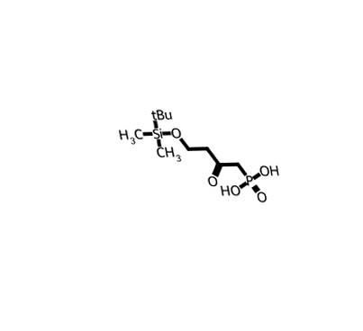 CC(C)(C)[Si](C)(C)OCCC(=O)CP(=O)(O)O